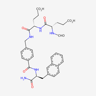 NC(=O)[C@H](Cc1ccc2ccccc2c1)NC(=O)c1ccc(CNC(=O)[C@H](CCC(=O)O)NC(=O)[C@H](CCC(=O)O)NC=O)cc1